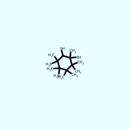 BC1(C)C(S)C(C)(S)C(C)(C)C(C)(C)C1(B)C